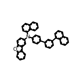 c1cc(-c2ccc(N(c3ccc4oc5ccccc5c4c3)c3cccc4ccccc34)cc2)cc(-c2cccc3ccccc23)c1